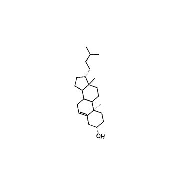 CC(C)CC[C@H]1CCC2C3CC=C4C[C@@H](O)CC[C@]4(C)C3CCC21C